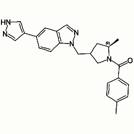 Cc1ccc(C(=O)N2CC(Cn3ncc4cc(-c5cn[nH]c5)ccc43)C[C@H]2C)cc1